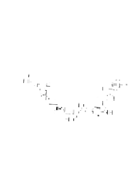 C=N/C(=C\C=C(/C)c1cnc2[nH]cc(C(=O)c3c(F)ccc(NS(=O)(=O)N(C)CC)c3F)c2c1)N1CCN(C(=O)CC2(O)CCN(c3cc(Cl)c(N4CCC(=O)NC4=O)cc3Cl)CC2)CC1